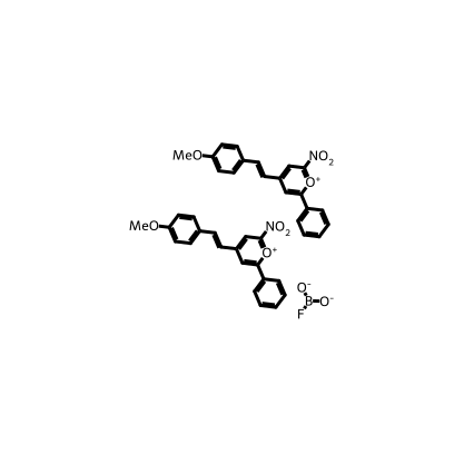 COc1ccc(C=Cc2cc(-c3ccccc3)[o+]c([N+](=O)[O-])c2)cc1.COc1ccc(C=Cc2cc(-c3ccccc3)[o+]c([N+](=O)[O-])c2)cc1.[O-]B([O-])F